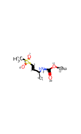 CC[C@@H](/C=C/S(C)(=O)=O)NC(=O)OC(C)(C)C